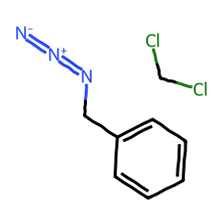 ClCCl.[N-]=[N+]=NCc1ccccc1